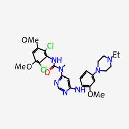 CCN1CCN(c2ccc(Nc3cc(N(C)C(=O)Nc4c(Cl)c(OC)cc(OC)c4Cl)ncn3)c(OC)c2)CC1